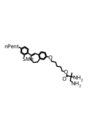 CCCCCc1ccc(C2=Cc3ccc(OCCCCCOC(=O)C(C)(N)CN)cc3CCC2)c(SC)c1